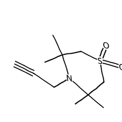 C#CCN1C(C)(C)CS(=O)(=O)CC1(C)C